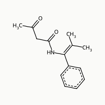 CC(=O)CC(=O)NC(=C(C)C)c1ccccc1